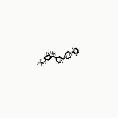 FC(F)(F)Oc1ccc2[nH]nc(-c3ccnc(N4CCN(c5ncccn5)CC4)c3)c2c1